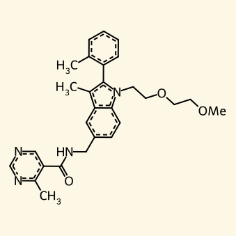 COCCOCCn1c(-c2ccccc2C)c(C)c2cc(CNC(=O)c3cncnc3C)ccc21